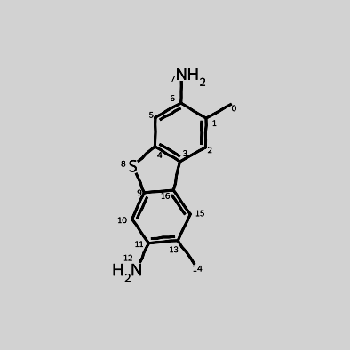 Cc1cc2c(cc1N)sc1cc(N)c(C)cc12